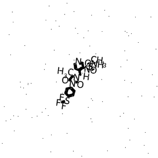 CNS(=O)(=O)Nc1cnccc1CN1C(=O)N(c2ccc(SC(F)(F)F)cc2)C(=O)C1C